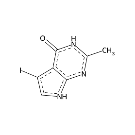 Cc1nc2[nH]cc(I)c2c(=O)[nH]1